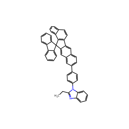 CCc1nc2ccccc2n1-c1ccc(-c2ccc3cc4c(cc3c2)C2(c3ccccc3-c3ccccc32)c2c-4ccc3ccccc23)cc1